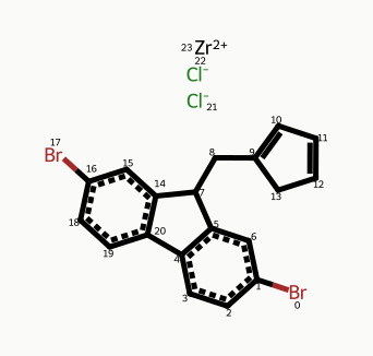 Brc1ccc2c(c1)C(CC1=CC=CC1)c1cc(Br)ccc1-2.[Cl-].[Cl-].[Zr+2]